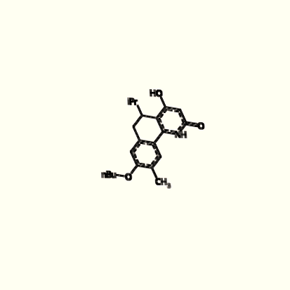 CCCCOc1cc2c(cc1C)-c1[nH]c(=O)cc(O)c1C(C(C)C)C2